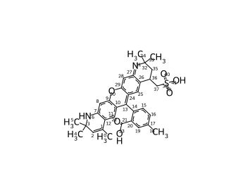 CC1=CC(C)(C)Nc2cc3c(cc21)C(c1ccc(C)cc1C(=O)O)=c1cc2c(cc1O3)=NC(C)(C)CC2CS(=O)(=O)O